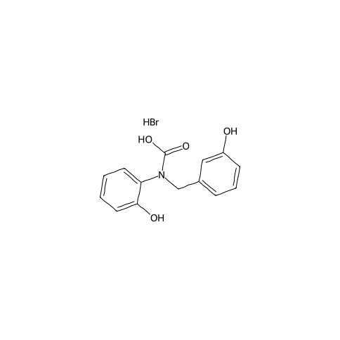 Br.O=C(O)N(Cc1cccc(O)c1)c1ccccc1O